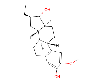 CC[C@@H]1C[C@H]2[C@@H]3CCc4cc(O)c(OC)cc4[C@H]3CC[C@]2(C)[C@H]1O